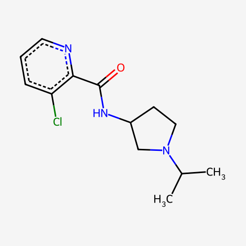 CC(C)N1CCC(NC(=O)c2ncccc2Cl)C1